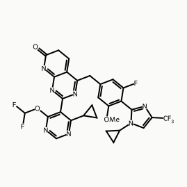 COc1cc(Cc2nc(-c3c(OC(F)F)ncnc3C3CC3)nc3c2=CCC(=O)N=3)cc(F)c1-c1nc(C(F)(F)F)cn1C1CC1